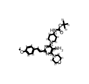 COc1ccc(C=Cc2nc(N3CCOCC3)c(N)c(N3CCC(NC(=O)OC(C)(C)C)CC3)n2)cc1